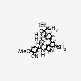 COc1ccc(C(=O)Nc2cnc3c(c(C4CCN(C(=O)C(C)C(C)(C)C)C(C)(C)C4)cn3C)c2C)cc1C#N